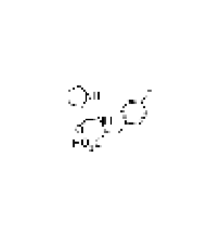 O=C(O)[C@H](Cc1ccc(F)cc1)NC(=O)[C@@H]1CCCN1